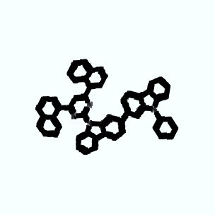 c1ccc(-n2c3ccccc3c3ccc(-c4ccc5c6ccccc6n(-c6nc(-c7cccc8ccccc78)cc(-c7cccc8ccccc78)n6)c5c4)cc32)cc1